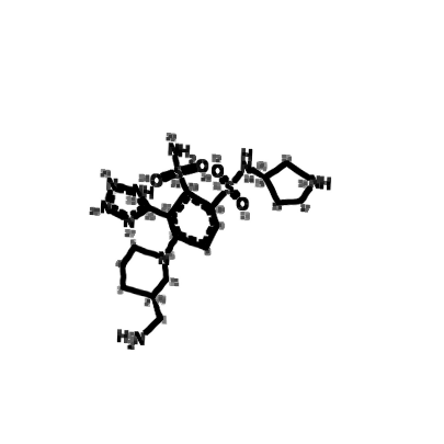 NC[C@H]1CCCN(c2ccc(S(=O)(=O)N[C@@H]3CCNC3)c(S(N)(=O)=O)c2-c2nnn[nH]2)C1